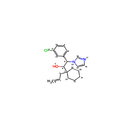 C=CCC1(C(O)C(c2cccc(Cl)c2)n2ccnc2)CCCCC1